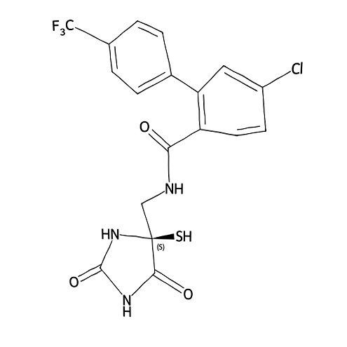 O=C1NC(=O)[C@@](S)(CNC(=O)c2ccc(Cl)cc2-c2ccc(C(F)(F)F)cc2)N1